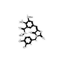 COc1cc(C=C2SC(=O)N(Cc3ccc(Cl)c(Cl)c3)C2=O)cc(C(=O)OC(C)(C)C)c1O